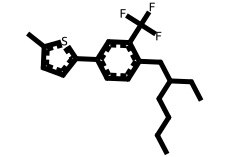 CCCCC(CC)Cc1ccc(-c2ccc(C)s2)cc1C(F)(F)F